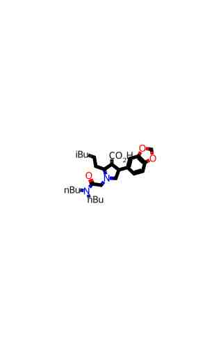 CCCCN(CCCC)C(=O)CN1CC(c2ccc3c(c2)OCO3)C(C(=O)O)C1CCC(C)CC